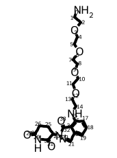 NCCOCCOCCOCCOCCNc1cccc2cnn(C3CCC(=O)NC3=O)c(=O)c12